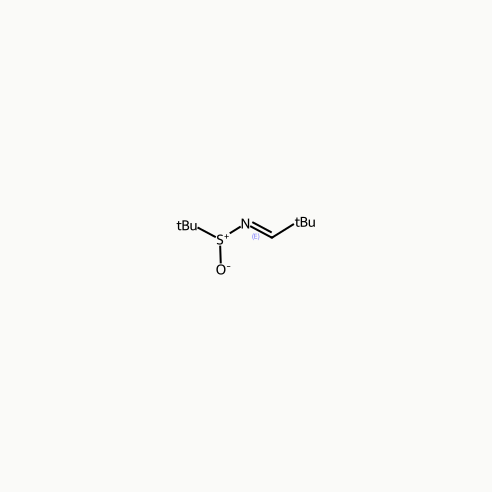 CC(C)(C)/C=N/[S+]([O-])C(C)(C)C